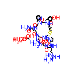 CC(=O)O.N=C(N)NCCC[C@H](NC(=O)[C@@H]1CCCN1C(=O)[C@@H]1CSSCCC(=O)N[C@@H](Cc2ccc(O)cc2)C(=O)N[C@@H](Cc2ccccc2)C(=O)N[C@@H](CCC(N)=O)C(=O)N[C@@H](CC(N)=O)C(=O)N1)C(=O)NCC(N)=O.O.O.O